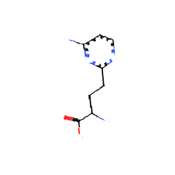 Nc1ccnc(CCC(N)C(=O)O)n1